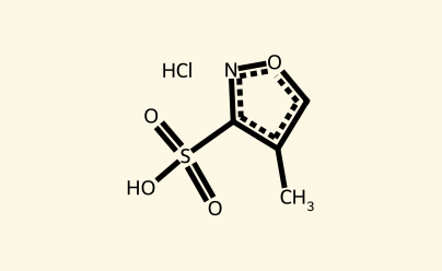 Cc1conc1S(=O)(=O)O.Cl